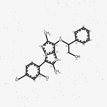 Cc1nn2c(-c3ccc(Cl)cc3Cl)c(C)oc2c1OC(CO)c1ccccc1